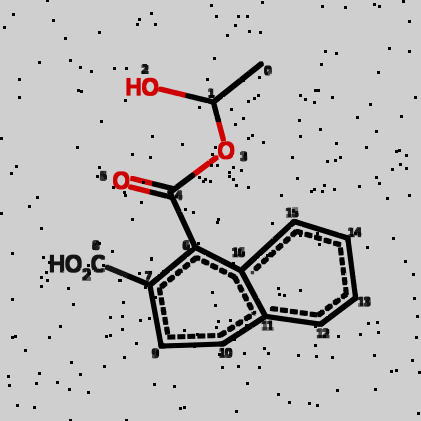 CC(O)OC(=O)c1c(C(=O)O)ccc2ccccc12